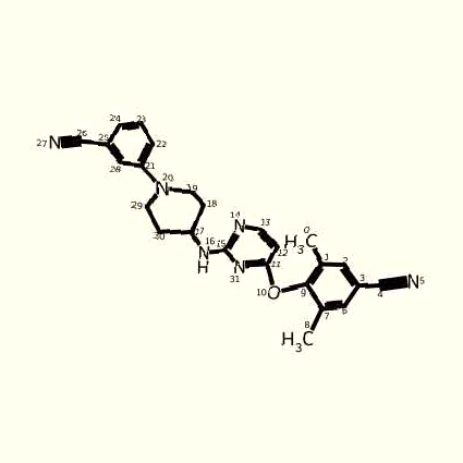 Cc1cc(C#N)cc(C)c1Oc1ccnc(NC2CCN(c3cccc(C#N)c3)CC2)n1